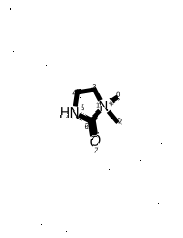 C[N+]1(C)CCNC1=O